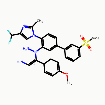 CNS(=O)(=O)c1cccc(-c2ccc(-n3cc(C(F)F)nc3C)c(N(N)/C(=C\N)C3C=CC(OC(F)(F)F)=CC3)c2)c1